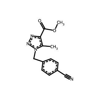 COC(=O)c1nnn(Cc2ccc(C#N)cc2)c1C